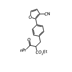 CCCC(=O)C(Cc1ccc(-c2occc2C#N)cc1)C(=O)OCC